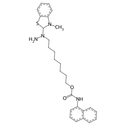 CN1c2ccccc2SC1N(N)CCCCCCCCOC(=O)Nc1cccc2ccccc12